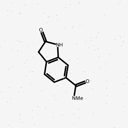 CNC(=O)c1ccc2c(c1)NC(=O)C2